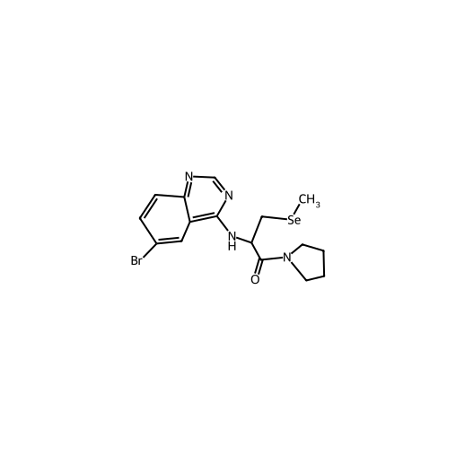 C[Se]CC(Nc1ncnc2ccc(Br)cc12)C(=O)N1CCCC1